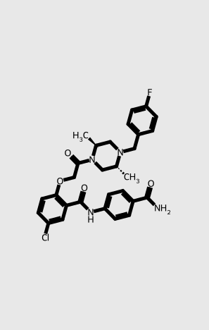 C[C@@H]1CN(C(=O)COc2ccc(Cl)cc2C(=O)Nc2ccc(C(N)=O)cc2)[C@@H](C)CN1Cc1ccc(F)cc1